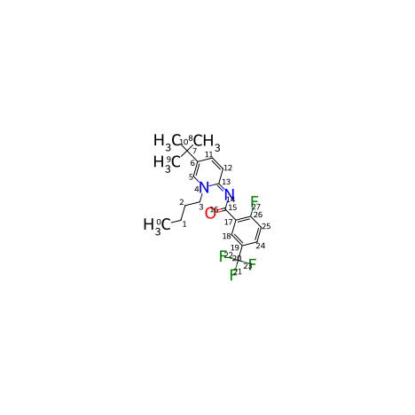 CCCCn1cc(C(C)(C)C)ccc1=NC(=O)c1cc(C(F)(F)F)ccc1F